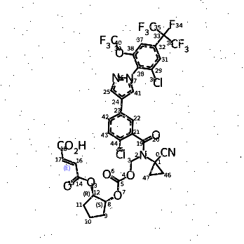 N#CC1(N(COC(=O)O[C@H]2CCC[C@H]2OC(=O)/C=C/C(=O)O)C(=O)c2cc(-c3cnn(-c4c(Cl)cc(C(F)(C(F)(F)F)C(F)(F)F)cc4OC(F)(F)F)c3)ccc2Cl)CC1